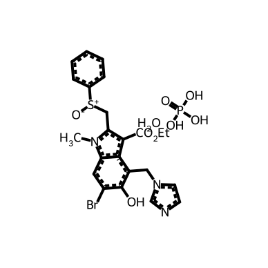 CCOC(=O)c1c(C[S+]([O-])c2ccccc2)n(C)c2cc(Br)c(O)c(Cn3ccnc3)c12.O.O=P(O)(O)O